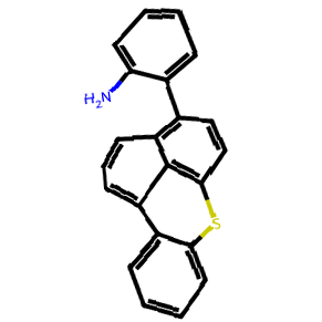 Nc1ccccc1-c1ccc2c3c(cccc13)-c1ccccc1S2